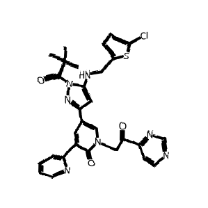 CC(C)(C)C(=O)n1nc(-c2cc(-c3ccccn3)c(=O)n(CC(=O)c3ccncn3)c2)cc1NCc1ccc(Cl)s1